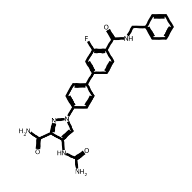 NC(=O)Nc1cn(-c2ccc(-c3ccc(C(=O)NCc4ccccc4)c(F)c3)cc2)nc1C(N)=O